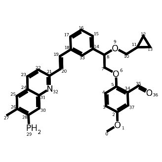 COc1ccc(OCC(OCC2CC2)c2cccc(/C=C/c3ccc4cc(C)c(P)cc4n3)c2)c(C=O)c1